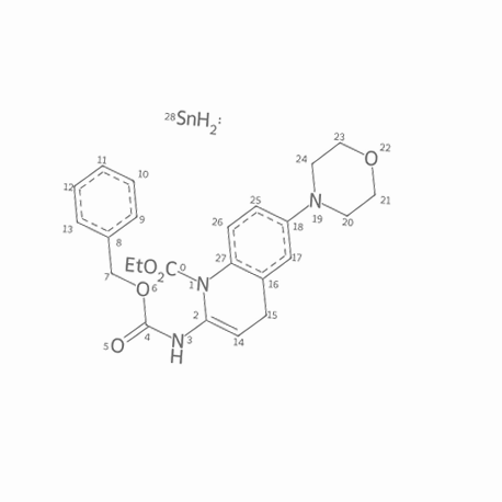 CCOC(=O)N1C(NC(=O)OCc2ccccc2)=CCc2cc(N3CCOCC3)ccc21.[SnH2]